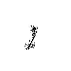 COc1cc(N)c(Cl)cc1C(=O)NC1CCN(CCCCCC(=O)NC[C@H](O)[C@@H](O)[C@H](O)[C@H](O)CO)CC1